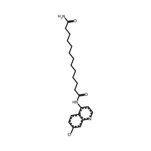 NC(=O)CCCCCCCCCCCC(=O)Nc1ccnc2cc(Cl)ccc12